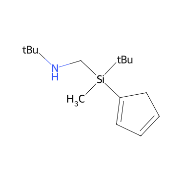 CC(C)(C)NC[Si](C)(C1=CC=CC1)C(C)(C)C